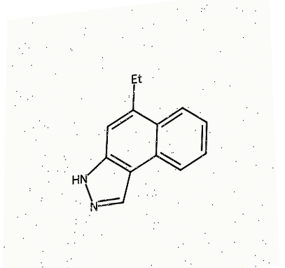 CCc1cc2[nH]ncc2c2ccccc12